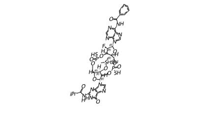 CC(C)C(=O)Nc1nc2c(ncn2[C@@H]2O[C@@H]3COP(=O)(S)O[C@H]4[C@@H](F)[C@H](n5cnc6c(NC(=O)c7ccccc7)ncnc65)O[C@@H]4COP(=O)(S)O[C@@H]2[C@@H]3O[Si](C)(C)C(C)(C)C)c(=O)[nH]1